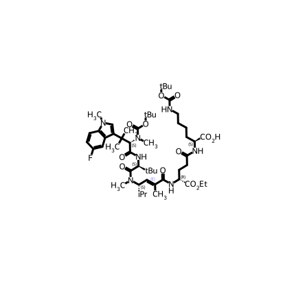 CCOC(=O)[C@@H](CCC(=O)N[C@@H](CCCCNC(=O)OC(C)(C)C)C(=O)O)NC(=O)/C(C)=C/[C@H](C(C)C)N(C)C(=O)[C@@H](NC(=O)[C@@H](N(C)C(=O)OC(C)(C)C)C(C)(C)c1cn(C)c2ccc(F)cc12)C(C)(C)C